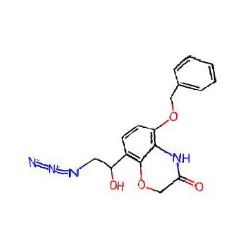 [N-]=[N+]=NCC(O)c1ccc(OCc2ccccc2)c2c1OCC(=O)N2